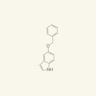 [c]1c[nH]c2ccc(OCc3ccccc3)cc12